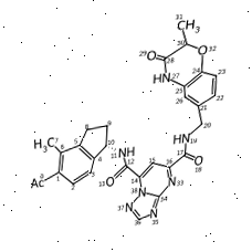 CC(=O)c1ccc2c(c1C)CC[C@@H]2NC(=O)c1cc(C(=O)NCc2ccc3c(c2)NC(=O)C(C)O3)nc2ncnn12